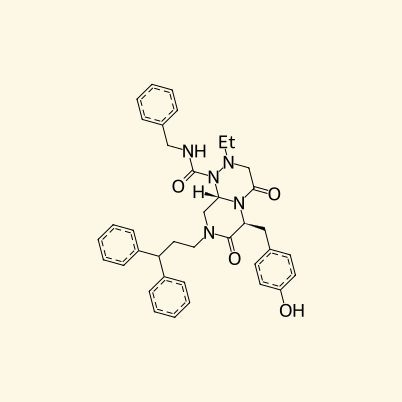 CCN1CC(=O)N2[C@@H](Cc3ccc(O)cc3)C(=O)N(CCC(c3ccccc3)c3ccccc3)C[C@@H]2N1C(=O)NCc1ccccc1